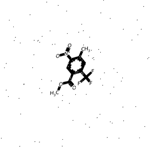 COC(=O)c1cc([N+](=O)[O-])c(C)cc1C(F)(F)F